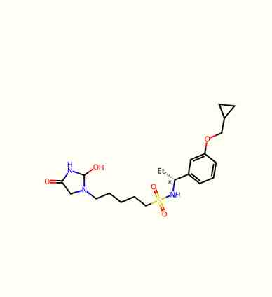 CC[C@@H](NS(=O)(=O)CCCCCN1CC(=O)NC1O)c1cccc(OCC2CC2)c1